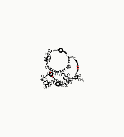 Cc1cn2c(=O)n(c1=O)Cc1ccc(cc1)C#CCCC1CC#Cc3ccc(cc3)COC(=O)Nc3ncnc4c3ncn4CC(=O)N(CCNC(=O)CN(C(=O)CN3C=CC(NC(=O)OCc4ccccc4)NC3=O)CCNC(=O)CCC1)CC(=O)NCCN(C(=O)Cn1cnc3c(O)nc(NC(=O)OCc4ccccc4)nc31)CC(=O)NCCN(CC(=O)O)C(=O)C2